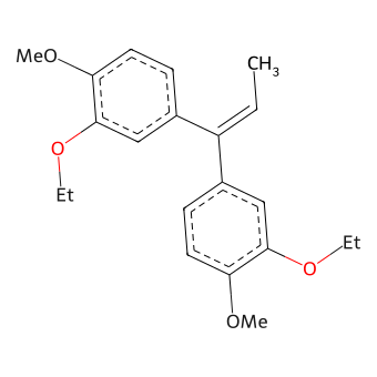 CC=C(c1ccc(OC)c(OCC)c1)c1ccc(OC)c(OCC)c1